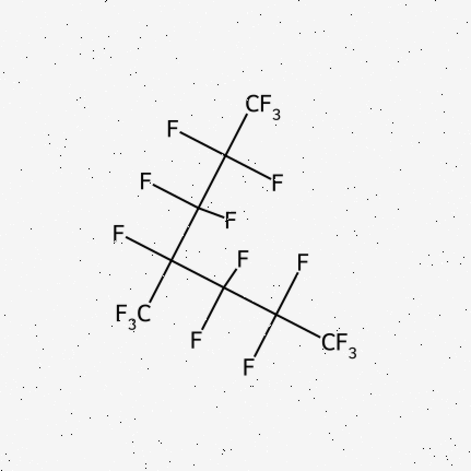 FC(F)(F)C(F)(F)C(F)(F)C(F)(C(F)(F)F)C(F)(F)C(F)(F)C(F)(F)F